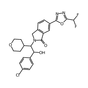 O=C1c2cc(-c3nnc(C(F)F)o3)ccc2CN1C(C1CCOCC1)C(O)c1ccc(Cl)cc1